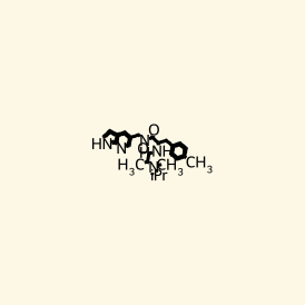 Cc1ccc(CC(NC(=O)C(C)N(C)C(C)C)C(=O)NCc2cnc3[nH]ccc3c2)cc1